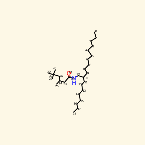 CCCCCCCCCCC(CCCCCCCC)CNC(=O)CC(C)CC(C)(C)C